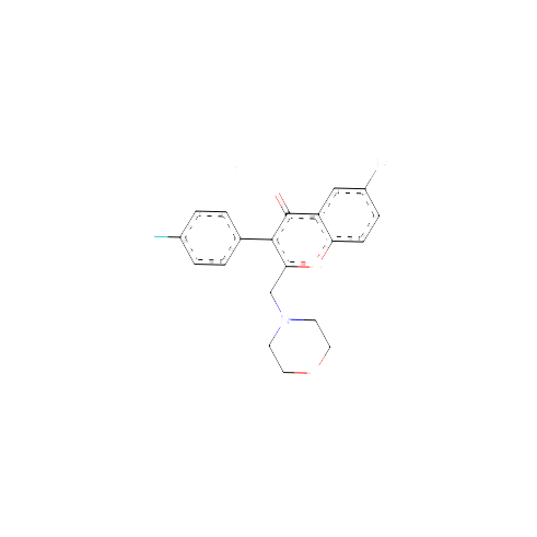 Cl.O=c1c(-c2ccc(F)cc2)c(CN2CCOCC2)oc2ccc(Br)cc12